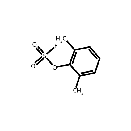 Cc1cccc(C)c1OS(=O)(=O)F